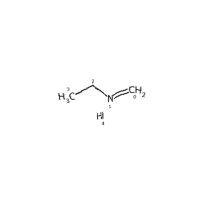 C=NCC.I